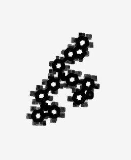 c1cc(-c2ccc3c(ccc4ccccc43)c2)cc(N(c2ccc(-c3cccc(-n4c5ccccc5c5ccccc54)c3)cc2)c2ccc(-c3cccc4oc5ccccc5c34)cc2)c1